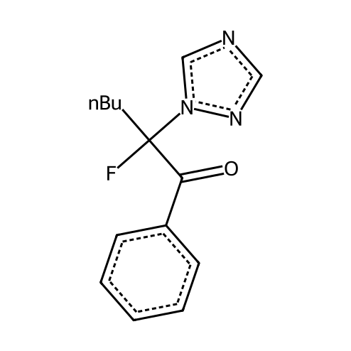 CCCCC(F)(C(=O)c1ccccc1)n1cncn1